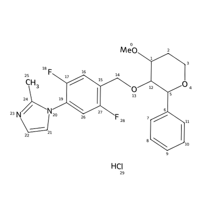 COC1CCOC(c2ccccc2)C1OCc1cc(F)c(-n2ccnc2C)cc1F.Cl